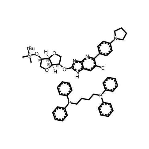 CC(C)(C)[Si](C)(C)O[C@@H]1CO[C@H]2[C@@H]1OC[C@H]2Oc1nc2nc(-c3ccc(N4CCCC4)cc3)c(Cl)cc2[nH]1.c1ccc(P(CCCCP(c2ccccc2)c2ccccc2)c2ccccc2)cc1